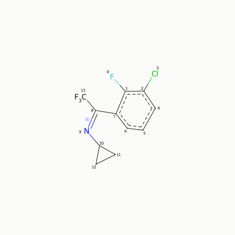 Fc1c(Cl)cccc1/C(=N\C1CC1)C(F)(F)F